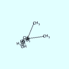 CCCCCCCCCCCCCCCCCCN(CCCCCCCCCCCCCCCCCC)C(=O)CC[C@@H](C)[C@H]1CC[C@H]2[C@@H]3CCC4C[C@H](O)CC[C@]4(C)[C@H]3CC[C@]12C